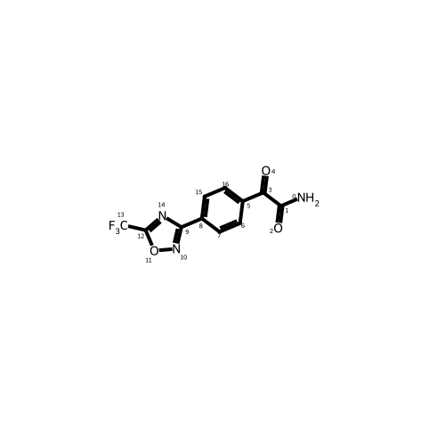 NC(=O)C(=O)c1ccc(-c2noc(C(F)(F)F)n2)cc1